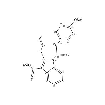 C=CCc1c(C(=O)OC)c2ccccc2n1C(=O)Oc1ccc(OC)cc1